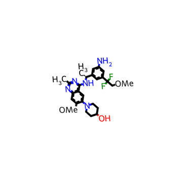 COCC(F)(F)c1cc(N)cc([C@@H](C)Nc2nc(C)nc3cc(OC)c(N4CCC(O)CC4)cc23)c1